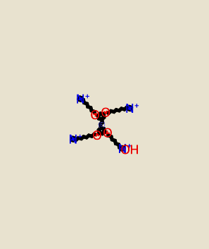 C[N+](C)(C)CCCCCCCCOc1cc(/C=C/c2cc(OCCCCCCCC[N+](C)(C)C)cc(OCCCCCCC[N+](C)(C)O)c2)cc(OCCCCCCC[N+](C)(C)C)c1